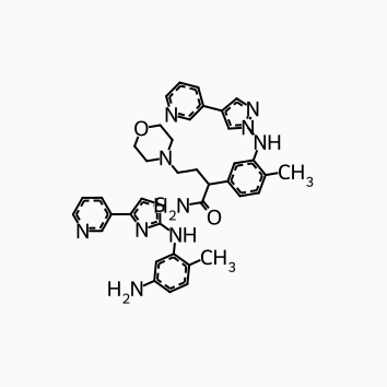 Cc1ccc(C(CCN2CCOCC2)C(N)=O)cc1Nn1cc(-c2cccnc2)cn1.Cc1ccc(N)cc1Nc1nc(-c2cccnc2)cs1